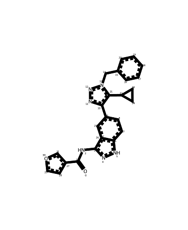 O=C(Nc1n[nH]c2ccc(-c3nnn(Cc4ccccc4)c3C3CC3)cc12)c1ccoc1